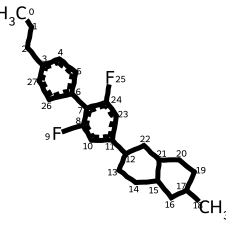 CCCc1ccc(-c2c(F)cc(C3CCC4CC(C)CCC4C3)cc2F)cc1